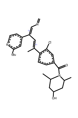 C=N/C=C(\C=C(/C)c1ccc(C(=O)N2C(C)CC(O)CC2C)cc1Cl)c1ccnc(C(C)(C)C)c1